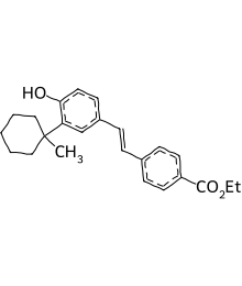 CCOC(=O)c1ccc(/C=C/c2ccc(O)c(C3(C)CCCCC3)c2)cc1